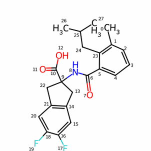 Cc1cccc(C(=O)NC2(C(=O)O)Cc3cc(F)c(F)cc3C2)c1CC(C)C